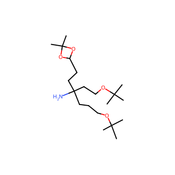 CC(C)(C)OCCCC(N)(CCOC(C)(C)C)CCC1OC(C)(C)O1